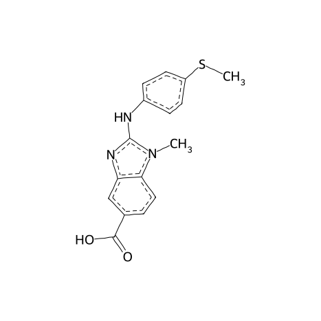 CSc1ccc(Nc2nc3cc(C(=O)O)ccc3n2C)cc1